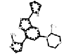 C[C@@H]1COCCN1c1cc(-c2ccnn2C)c2onc(-c3ccc[nH]3)c2n1